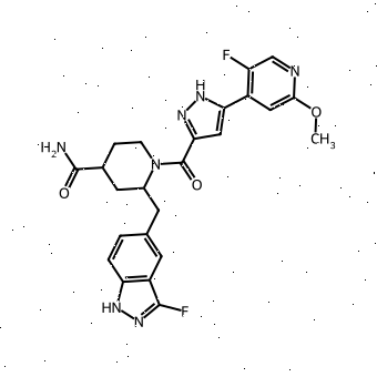 COc1cc(-c2cc(C(=O)N3CCC(C(N)=O)CC3Cc3ccc4[nH]nc(F)c4c3)n[nH]2)c(F)cn1